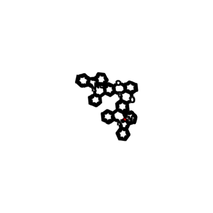 N#Cc1cc2c(cc1-c1ccccc1-n1c3ccccc3c3ccccc31)B1c3cc(-c4ccccc4-n4c5ccccc5c5ccccc54)c(C#N)cc3Oc3cccc(c31)O2